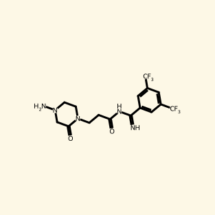 N=C(NC(=O)CCN1CCN(N)CC1=O)c1cc(C(F)(F)F)cc(C(F)(F)F)c1